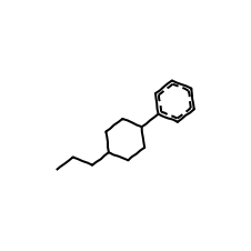 CCCC1CCC(c2ccccc2)CC1